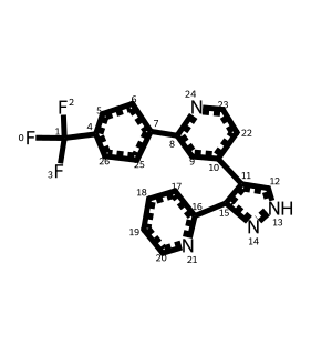 FC(F)(F)c1ccc(-c2cc(-c3c[nH]nc3-c3ccccn3)ccn2)cc1